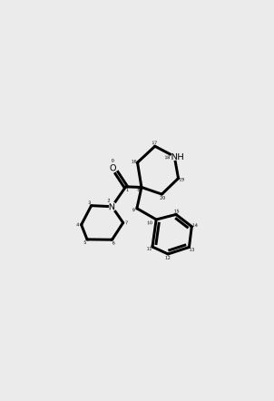 O=C(N1CCCCC1)C1(Cc2ccccc2)CCNCC1